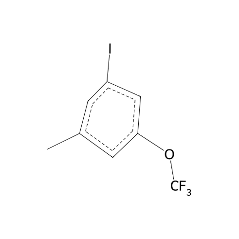 Cc1cc(I)cc(OC(F)(F)F)c1